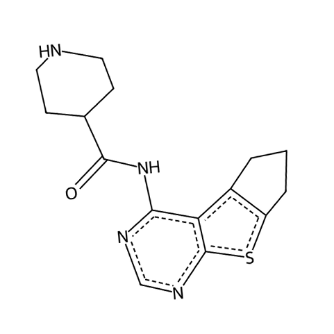 O=C(Nc1ncnc2sc3c(c12)CCC3)C1CCNCC1